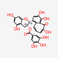 O=C(O[C@@H]1Cc2c(O)cc(O)cc2O[C@@H]1c1cc(O)c(O)c2c(=O)c(O)cccc12)c1cc(O)c(O)c(O)c1